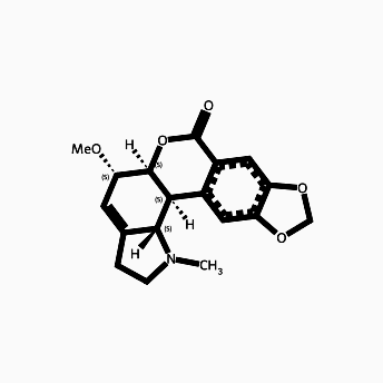 CO[C@H]1C=C2CCN(C)[C@H]2[C@@H]2c3cc4c(cc3C(=O)O[C@@H]21)OCO4